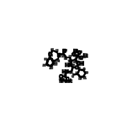 CCCCCOC(=O)N[C@@H](CC1CCCCC1)C(=O)N[C@@H](CCC(=O)N1CCOc2ccccc2C1)C(O)P(=O)(OCC)OCC